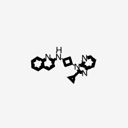 c1ccc2nc(N[C@H]3C[C@H](n4c(C5CC5)nc5cccnc54)C3)ccc2c1